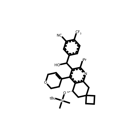 CC(C)c1nc2c(c(C3=CCOCC3)c1C(O)c1ccc(C(F)(F)F)c(C#N)c1)[C@@H](O[Si](C)(C)C(C)(C)C)CC1(CCC1)C2